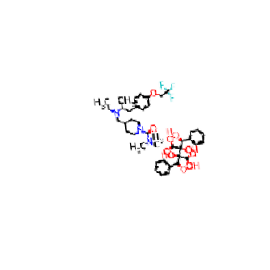 CCN(CC1CCN(C(=O)N(C)C)CC1)C(C)Cc1ccc(OCC(F)(F)F)cc1.O=C(O)C(O)(C(=O)c1ccccc1)C(O)(C(=O)O)C(=O)c1ccccc1